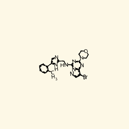 Cc1ccccc1-c1cnc(CNc2nc(N3CCOCC3)nc3c(Br)cnn23)[nH]1